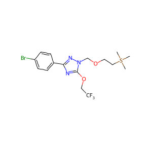 CS(C)(C)CCOCn1nc(-c2ccc(Br)cc2)nc1OCC(F)(F)F